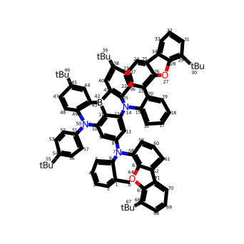 Cc1ccccc1N(c1cc2c3c(c1)N(c1ccccc1-c1cccc4c1oc1c(C(C)(C)C)cccc14)c1ccc(C(C)(C)C)cc1B3c1cc(C(C)(C)C)ccc1N2c1ccc(C(C)(C)C)cc1)c1cccc2c1oc1c(C(C)(C)C)cccc12